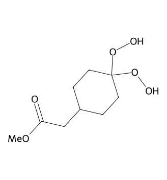 COC(=O)CC1CCC(OO)(OO)CC1